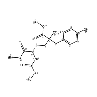 CC(C)(C)OC(=O)N[C@@H](CCC(Cc1ccc(O)cc1)(C(=O)O)C(=O)OC(C)(C)C)C(=O)OC(C)(C)C